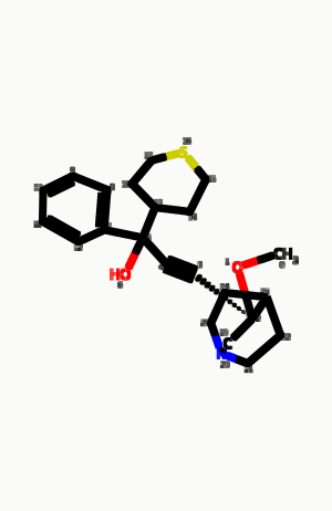 CO[C@]1(C#CC(O)(c2ccccc2)C2CCSCC2)CN2CCC1CC2